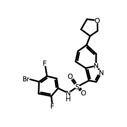 O=S(=O)(Nc1cc(F)c(Br)cc1F)c1cnn2cc(C3CCOC3)ccc12